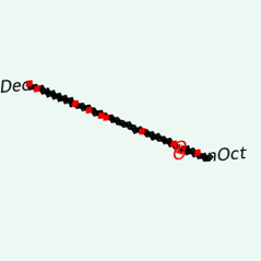 CCCCCCCC/C=C\CCCCCCCC(=O)OCCCCCCCCCCCCCCCCCCCCCCCCCCCCCCCCCCCCCCCCCCCCCCCCCCCCCCCCCCCCCC